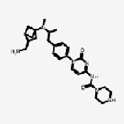 CC(Cc1ccc(-n2ccc(NC(=O)N3CCNCC3)nc2=O)cc1)N(C)C12CC(CN)C(C1)C2